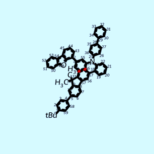 CC(C)(C)c1ccc(-c2ccc3c(c2)C(C)(C)c2ccc(-c4ccccc4N(c4ccc(-c5ccccc5)cc4)c4cccc(-c5cccc6c5oc5ccccc56)c4)cc2-3)cc1